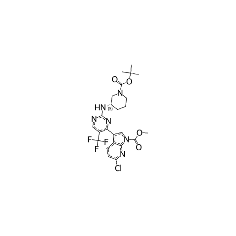 COC(=O)n1cc(-c2nc(N[C@H]3CCCN(C(=O)OC(C)(C)C)C3)ncc2C(F)(F)F)c2ccc(Cl)nc21